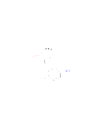 COC(=O)/C(C)=C/c1cc(N)ccc1Cl